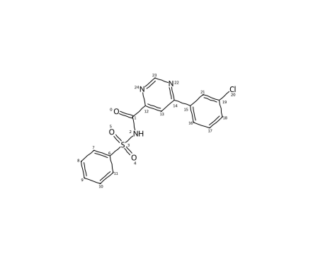 O=C(NS(=O)(=O)c1ccccc1)c1cc(-c2cccc(Cl)c2)ncn1